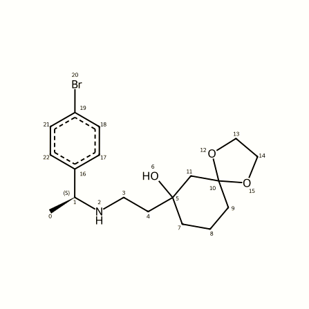 C[C@H](NCCC1(O)CCCC2(C1)OCCO2)c1ccc(Br)cc1